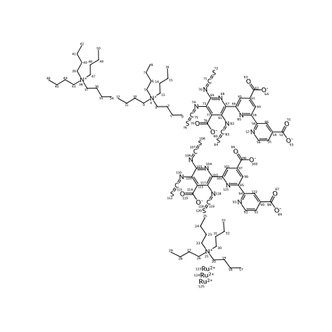 CCCC[N+](CCCC)(CCCC)CCCC.CCCC[N+](CCCC)(CCCC)CCCC.CCCC[N+](CCCC)(CCCC)CCCC.O=C([O-])c1ccnc(-c2cc(C(=O)[O-])cc(-c3nc(N=C=S)c(N=C=S)c(C(=O)[O-])c3N=C=S)n2)c1.O=C([O-])c1ccnc(-c2cc(C(=O)[O-])cc(-c3nc(N=C=S)c(N=C=S)c(C(=O)[O-])c3N=C=S)n2)c1.[Ru+2].[Ru+2].[Ru+2]